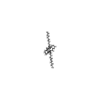 C=C1c2ccccc2N(CCCCCCCCCCC)C2C(=C)c3ccccc3N(CCCCCCCCCCC)C12